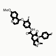 COc1ccc2c(Oc3ccc(NC(=O)c4cc5cnn(C)c5n(-c5ccc(F)cc5)c4=O)cc3F)ccnc2c1